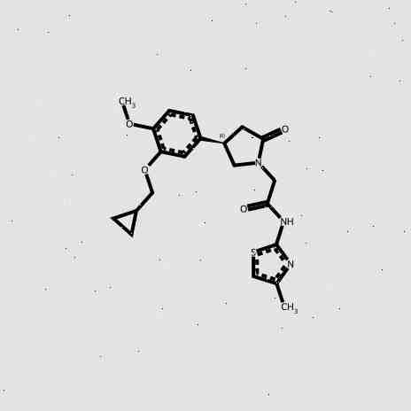 COc1ccc([C@H]2CC(=O)N(CC(=O)Nc3nc(C)cs3)C2)cc1OCC1CC1